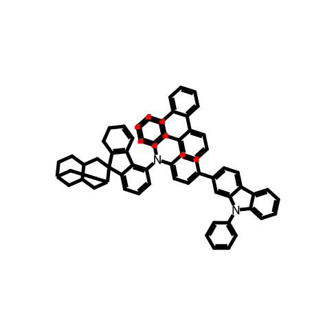 C1=CC2=C(CC1)C1(CC3CCC4CC3CC1C4)c1cccc(N(c3ccc(-c4ccc5c6ccccc6n(-c6ccccc6)c5c4)cc3)c3ccccc3-c3ccccc3-c3ccccc3-c3ccccc3)c12